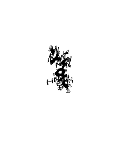 CCn1c(-c2cnc(C)nc2)nc2c(-c3ccc4c(c3)C(C)(NCC(C)(F)F)C(=O)N4)ncnc21